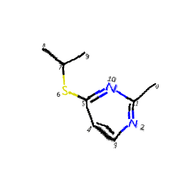 Cc1nccc(SC(C)C)n1